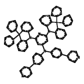 c1ccc(C2(c3ccccc3)c3ccccc3N(c3cc(N(c4ccc(-c5ccncc5)cc4)c4ccc(-c5ccncc5)cc4)cc(N4c5ccccc5C(c5ccccc5)(c5ccccc5)c5ccccc54)n3)c3ccccc32)cc1